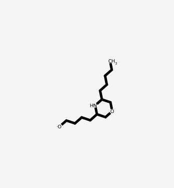 CCCCCC1COCC(CCCC[O])N1